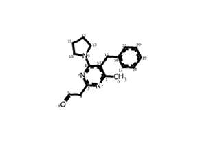 Cc1nc(CC=O)nc(N2CCCC2)c1Cc1ccccc1